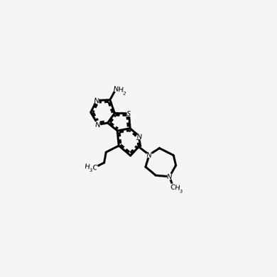 CCCc1cc(N2CCCN(C)CC2)nc2sc3c(N)ncnc3c12